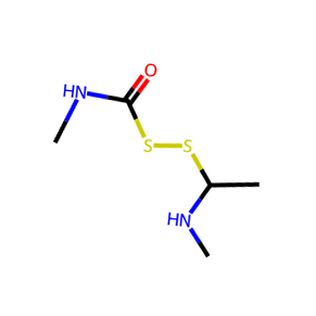 CNC(=O)SSC(C)NC